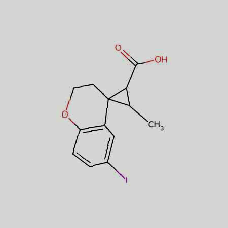 CC1C(C(=O)O)C12CCOc1ccc(I)cc12